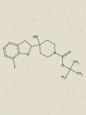 CC(C)(C)OC(=O)N1CCC(O)(C2Cc3cccc(F)c3O2)CC1